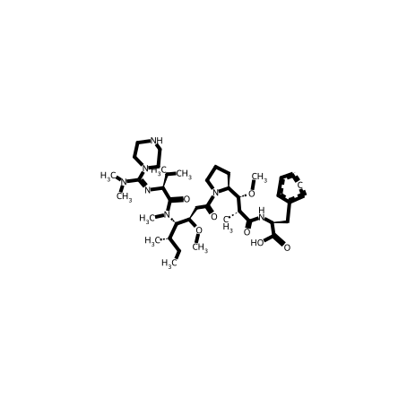 CC[C@H](C)[C@@H]([C@@H](CC(=O)N1CCC[C@H]1[C@H](OC)[C@@H](C)C(=O)N[C@@H](Cc1ccccc1)C(=O)O)OC)N(C)C(=O)[C@@H](/N=C(/N(C)C)N1CCNCC1)C(C)C